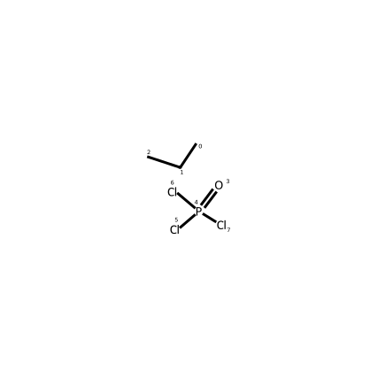 CCC.O=P(Cl)(Cl)Cl